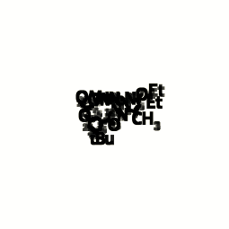 CCC(CC)Oc1cc(C)c2nn(CC(=O)c3cc(OC(COC)COC)cc(C(C)(C)C)c3)c(=N)n2n1